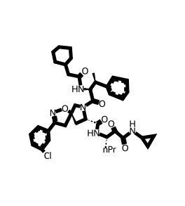 CCC[C@H](NC(=O)[C@@H]1C[C@]2(CC(c3cccc(Cl)c3)=NO2)CN1C(=O)[C@@H](NC(=O)CC1CCCCC1)[C@@H](C)c1ccccc1)C(=O)C(=O)NC1CC1